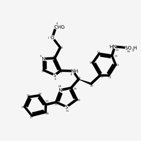 O=COCc1ncsc1N[C@@H](Cc1ccc(NS(=O)(=O)O)cc1)c1csc(-c2ccccc2)n1